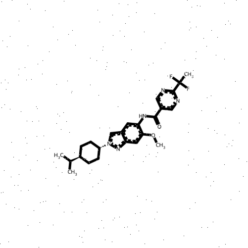 COc1cc2nn([C@H]3CC[C@H](C(C)C)CC3)cc2cc1NC(=O)c1cnc(C(C)(F)F)nc1